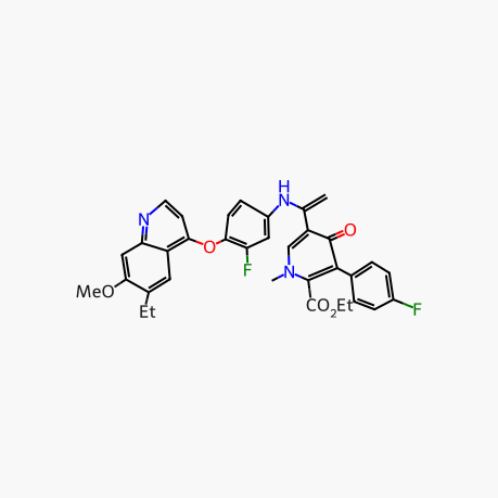 C=C(Nc1ccc(Oc2ccnc3cc(OC)c(CC)cc23)c(F)c1)c1cn(C)c(C(=O)OCC)c(-c2ccc(F)cc2)c1=O